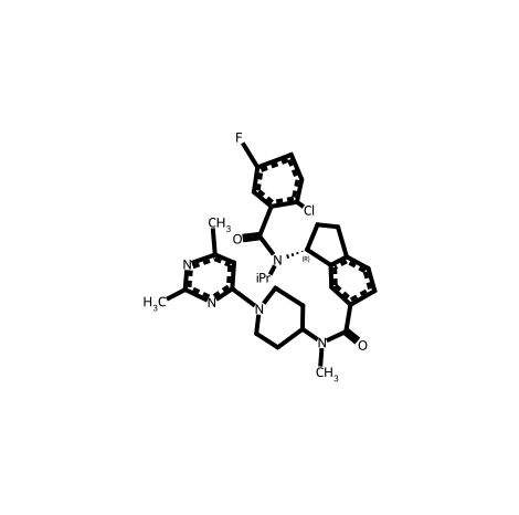 Cc1cc(N2CCC(N(C)C(=O)c3ccc4c(c3)[C@H](N(C(=O)c3cc(F)ccc3Cl)C(C)C)CC4)CC2)nc(C)n1